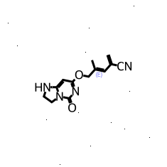 C=C(C#N)/C=C(\C)COc1cc2n(c(=O)n1)CCN2